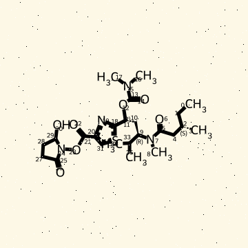 CC[C@H](C)CC(=O)N(C)[C@H](C[C@@H](OC(=O)N(C)C)c1nc(C(=O)ON2C(=O)CCC2O)cs1)C(C)C